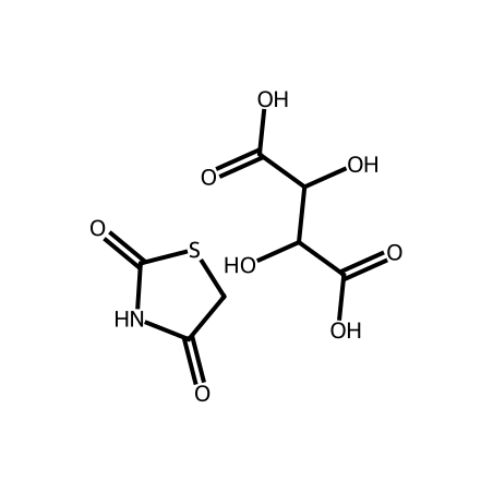 O=C(O)C(O)C(O)C(=O)O.O=C1CSC(=O)N1